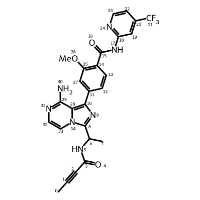 CC#CC(=O)NC(C)c1nc(-c2ccc(C(=O)Nc3cc(C(F)(F)F)ccn3)c(OC)c2)c2c(N)nccn12